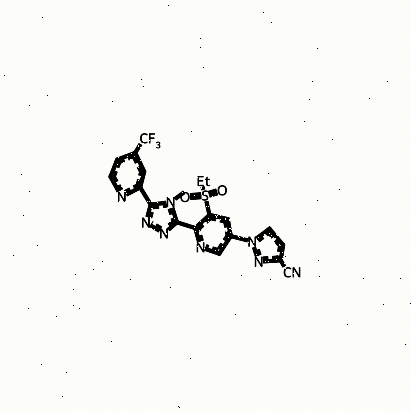 CCS(=O)(=O)c1cc(-n2ccc(C#N)n2)cnc1-c1nnc(-c2cc(C(F)(F)F)ccn2)n1C